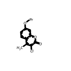 Cc1c(Cl)c(=O)oc2cc(OC(C)C)ccc12